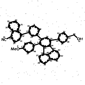 COc1ccc(-c2c(-c3cccc(-c4ccc(C#N)c5ccccc45)c3)cc(-c3ccc(CO)cc3)c3c2-c2cccc4cccc-3c24)cc1